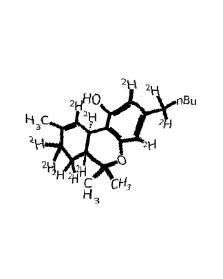 [2H]C1=C(C)C([2H])([2H])C([2H])([2H])[C@@]2([2H])C(C)(C)Oc3c([2H])c(C([2H])([2H])CCCC)c([2H])c(O)c3[C@]12[2H]